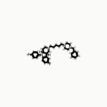 Fc1ccc(N2c3ccc(F)cc3[C@@H]3CN(CCCCCN4CCN(Cc5ccccc5)CC4)CC[C@H]32)cc1